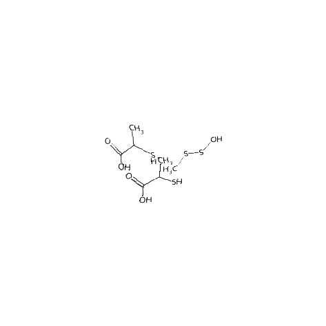 CC(S)C(=O)O.CC(S)C(=O)O.CSSO